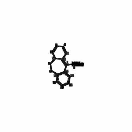 [CH2]NC1=C2C=CC=CC2CCc2ccccc21